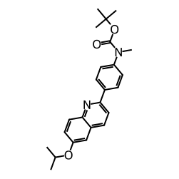 CC(C)Oc1ccc2nc(-c3ccc(N(C)C(=O)OC(C)(C)C)cc3)ccc2c1